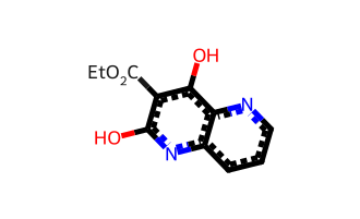 CCOC(=O)c1c(O)nc2cccnc2c1O